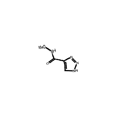 CONC(=O)c1c[nH]nn1